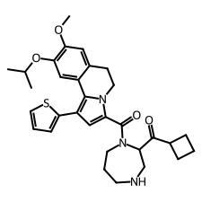 COc1cc2c(cc1OC(C)C)-c1c(-c3cccs3)cc(C(=O)N3CCCNCC3C(=O)C3CCC3)n1CC2